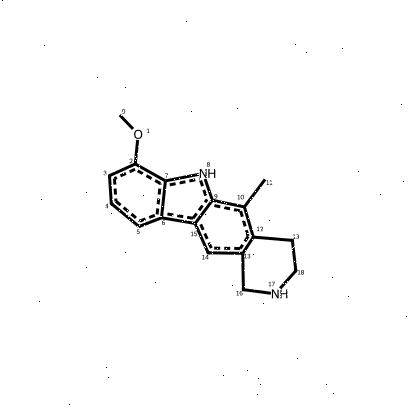 COc1cccc2c1[nH]c1c(C)c3c(cc12)CNCC3